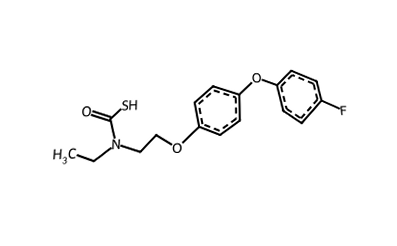 CCN(CCOc1ccc(Oc2ccc(F)cc2)cc1)C(=O)S